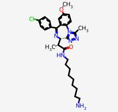 COc1ccc2c(c1)C(c1ccc(Cl)cc1)=N[C@@H]([C@@H](C)C(=O)NCCCCCCCCCN)c1nnc(C)n1-2